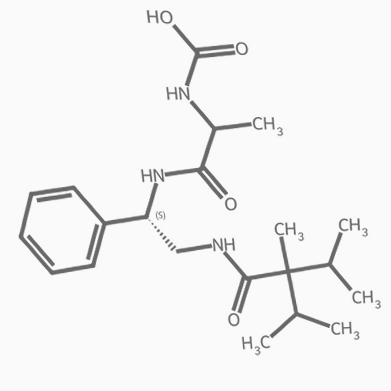 CC(NC(=O)O)C(=O)N[C@H](CNC(=O)C(C)(C(C)C)C(C)C)c1ccccc1